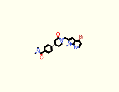 CN(C)C(=O)c1ccc([C@H]2CCN(Cc3cc4c(Br)ccnc4n3C)C(=O)C2)cc1